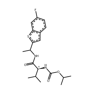 CC(C)OC(=O)N[C@H](C(=O)NC(C)c1cc2ccc(F)cc2s1)C(C)C